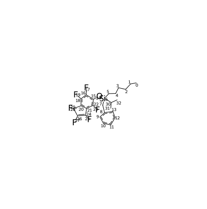 CCCCCC[Si](Cc1ccccc1)(Oc1c(F)c(F)c2c(c1F)C(F)=C(F)[C]2F)C(C)C